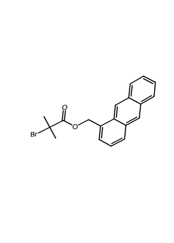 CC(C)(Br)C(=O)OCc1cccc2cc3ccccc3cc12